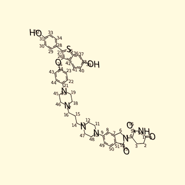 O=C1CCC(N2Cc3cc(N4CCN(CCCN5CCN(c6ccc(Oc7c(-c8ccc(O)cc8)sc8cc(O)ccc78)cc6)CC5)CC4)ccc3C2=O)C(=O)N1